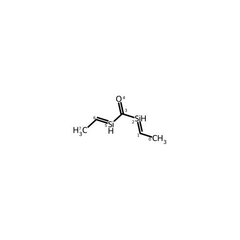 CC=[SiH]C(=O)[SiH]=CC